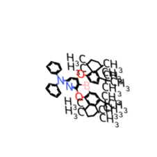 CC(C)(C)c1cc2c(c3c1C(C)(C)CCC3(C)C)Oc1cc(N(c3ccccc3)c3ccccc3)nc3c1B2c1cc(C(C)(C)C)c2c(c1O3)C(C)(C)CCC2(C)C